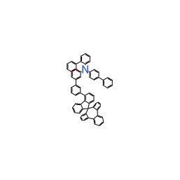 c1ccc(-c2ccc(N(c3cccc(-c4cccc(-c5cccc6c5-c5ccccc5C65c6ccccc6-c6ccccc6-c6ccccc65)c4)c3)c3ccccc3-c3ccccc3)cc2)cc1